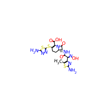 Cc1sc(N)nc1C(=NO)C(=O)N[C@H]1C(=O)N2C(C(=O)O)=C(Sc3nnc(N)s3)CCC12